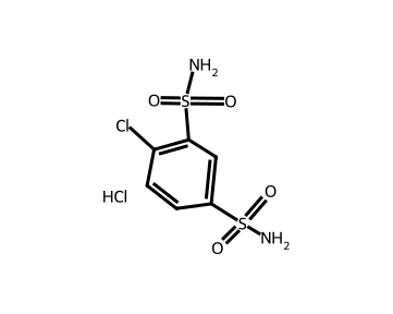 Cl.NS(=O)(=O)c1ccc(Cl)c(S(N)(=O)=O)c1